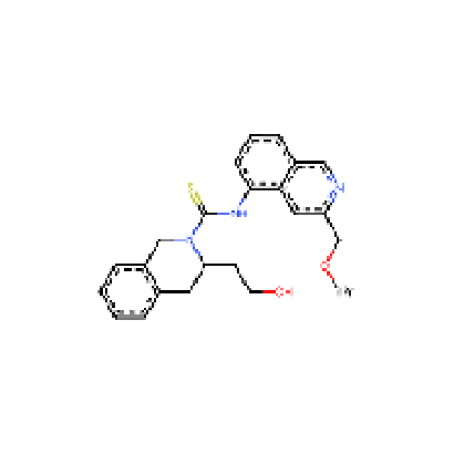 CCCOCc1cc2c(NC(=S)N3Cc4ccccc4CC3CCO)cccc2cn1